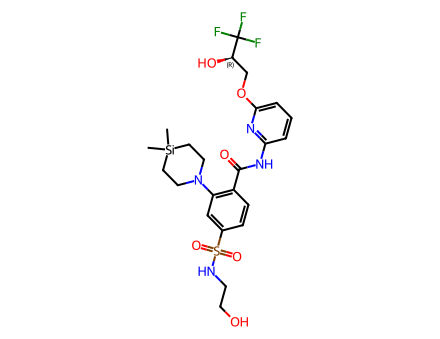 C[Si]1(C)CCN(c2cc(S(=O)(=O)NCCO)ccc2C(=O)Nc2cccc(OC[C@@H](O)C(F)(F)F)n2)CC1